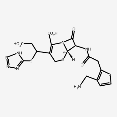 NCc1ccsc1CC(=O)NC1C(=O)N2C(C(=O)O)=C(C(CC(=O)O)Sc3nnn[nH]3)CS[C@@H]12